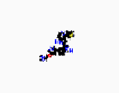 CN(C)CCOc1cncc(-c2ccc3[nH]nc(-c4cc5c(-c6ccsc6)nccc5[nH]4)c3c2)c1